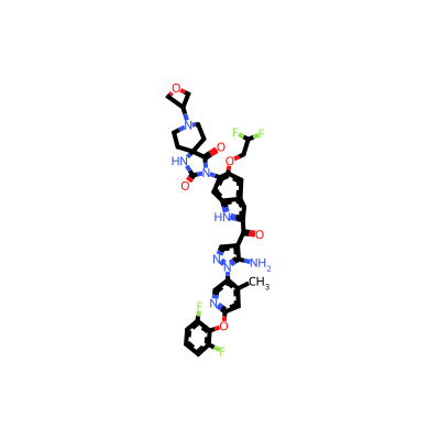 Cc1cc(Oc2c(F)cccc2F)ncc1-n1ncc(C(=O)c2cc3cc(OCC(F)F)c(N4C(=O)NC5(CCN(C6COC6)CC5)C4=O)cc3[nH]2)c1N